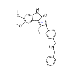 CC/C(Nc1ccc(CNCc2ccccc2)cc1)=C1/C(=O)Nc2cc(OC)c(OC)cc21